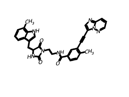 Cc1ccc(C(=O)NCCN2C(=O)NC(Cc3c[nH]c4c(C)cccc34)C2=O)cc1C#Cc1cnc2cccnn12